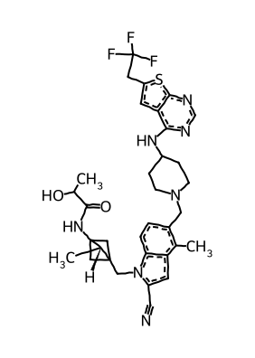 Cc1c(CN2CCC(Nc3ncnc4sc(CC(F)(F)F)cc34)CC2)ccc2c1cc(C#N)n2CC12CC(NC(=O)C(C)O)(C1)[C@H]2C